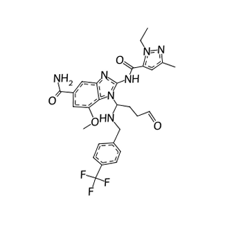 CCn1nc(C)cc1C(=O)Nc1nc2cc(C(N)=O)cc(OC)c2n1C(CCC=O)NCc1ccc(C(F)(F)F)cc1